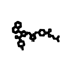 CC(C)CCOC(=O)N1CCC(Cn2cncc2Cn2cc(C(=O)N3CCN(C)CC3)c(-c3cccc4ccccc34)c2)CC1